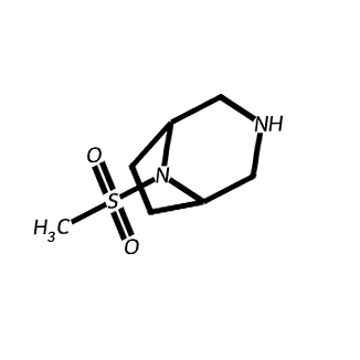 CS(=O)(=O)N1C2CCC1CNC2